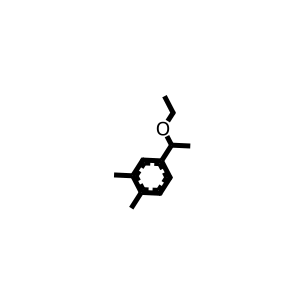 CCOC(C)c1ccc(C)c(C)c1